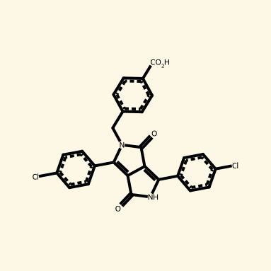 O=C1NC(c2ccc(Cl)cc2)=C2C(=O)N(Cc3ccc(C(=O)O)cc3)C(c3ccc(Cl)cc3)=C12